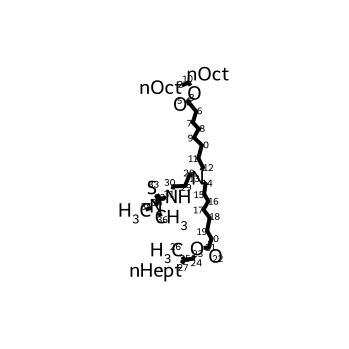 CCCCCCCCC(CCCCCCCC)OC(=O)CCCCCCCN(CCCCCCCC(=O)OCC(C)CCCCCCC)CCCNC(=S)N(C)C